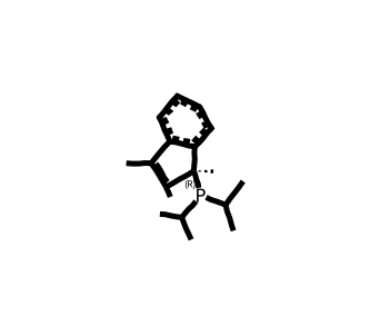 CC1=C(C)[C@](C)(P(C(C)C)C(C)C)c2ccccc21